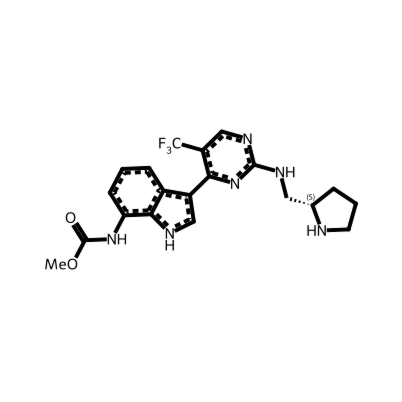 COC(=O)Nc1cccc2c(-c3nc(NC[C@@H]4CCCN4)ncc3C(F)(F)F)c[nH]c12